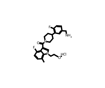 COCCn1cc(C(=O)N2CCC(c3cc(CN)ccc3F)CC2)c2c(F)ccc(C)c21.Cl